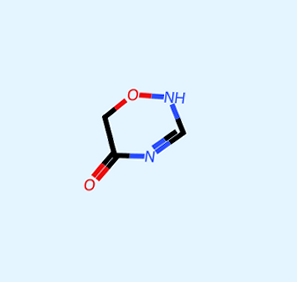 O=C1CONC=N1